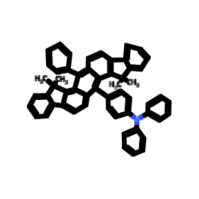 CC1(C)c2ccccc2-c2ccc3c(-c4ccc(N(c5ccccc5)c5ccccc5)cc4)c4c5c(ccc4c(-c4ccccc4)c3c21)-c1ccccc1C5(C)C